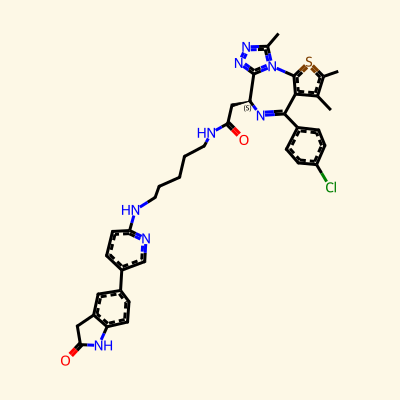 Cc1sc2c(c1C)C(c1ccc(Cl)cc1)=N[C@@H](CC(=O)NCCCCCNc1ccc(-c3ccc4c(c3)CC(=O)N4)cn1)c1nnc(C)n1-2